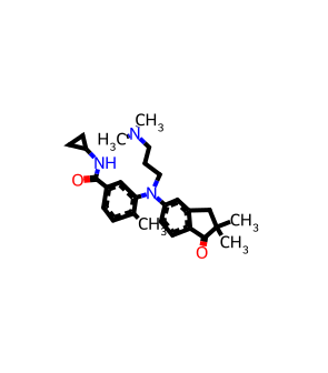 Cc1ccc(C(=O)NC2CC2)cc1N(CCCN(C)C)c1ccc2c(c1)CC(C)(C)C2=O